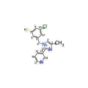 Cc1cn(Cc2cc(F)cc(Cl)c2)c(-c2cccnc2)n1